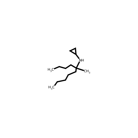 CCCCCC(C)(CCCC)NC1CC1